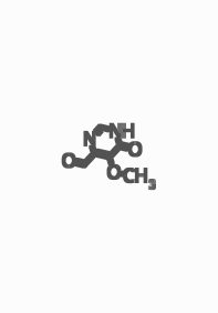 COc1c(C=O)nc[nH]c1=O